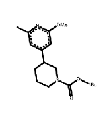 COc1cc(C2CCCN(C(=O)OC(C)(C)C)C2)cc(C)n1